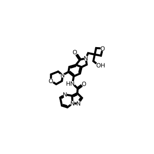 O=C(Nc1cc2c(cc1N1CCOCC1)C(=O)N(CC1(CO)COC1)C2)c1cnn2cccnc12